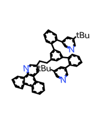 CC(C)(C)c1cncc(-c2ccccc2-c2cc(CCc3cnc4c5ccccc5c5ccccc5c4c3)cc(-c3ccccc3-c3cncc(C(C)(C)C)c3)c2)c1